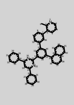 Cc1ncccc1-c1cccc(-c2cc(-c3nc(-c4ccccc4)cc(-c4ccccc4)n3)cc(-c3cccc4ccccc34)c2)c1